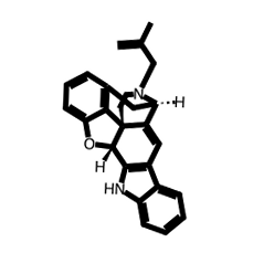 C=C(C)CN1CC[C@@]23C4=Cc5c([nH]c6ccccc56)[C@@H]2Oc2cccc(c23)C[C@H]41